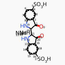 O=C1c2cc(S(=O)(=O)O)ccc2NC1C1Nc2ccc(S(=O)(=O)O)cc2C1=O.[NaH].[NaH]